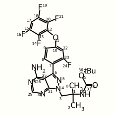 CC(C)(Cn1nc(-c2ccc(Oc3c(F)c(F)cc(F)c3F)cc2F)c2c(N)ncnc21)NC(=O)OC(C)(C)C